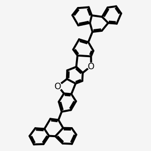 c1ccc2c(c1)cc(-c1ccc3c(c1)oc1cc4c(cc13)oc1cc(-c3cc5ccccc5c5ccccc35)ccc14)c1ccccc12